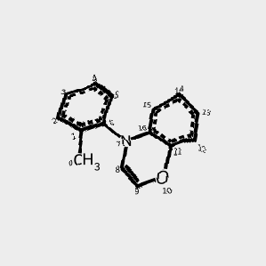 Cc1ccccc1N1C=COc2ccccc21